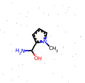 Cn1cccc1C(N)O